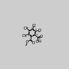 COC(=O)c1c(Cl)c(Cl)c(Cl)c(Cl)c1C(=O)O